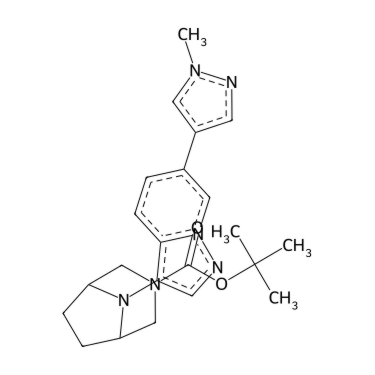 Cn1cc(-c2ccc3c(N4C5CCC4CN(C(=O)OC(C)(C)C)C5)cnn3c2)cn1